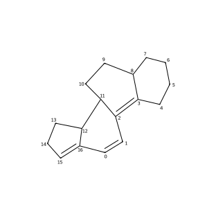 C1=CC2=C3CCCCC3CCC2C2CCC=C12